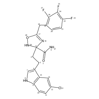 NC(=O)C1(CCc2c[nH]c3ccc(Cl)cc23)N=C(Cc2ccc(F)c(F)c2F)ON1